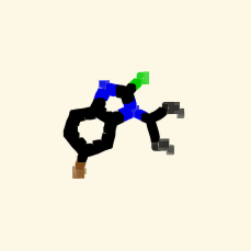 CC(C)n1c(Cl)nc2ccc(Br)cc21